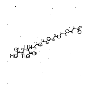 CC(=O)CCOCCOCCOCCOCCNC(CCC(=O)O)C(=O)O